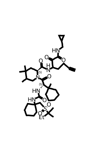 C#CCCC(NC(=O)[C@@H]1CC(C)(C)C(C)CN1C(=O)[C@@H](NC(=O)NC1(CS(=O)(=O)C(C)(C)CC)CCCCC1)C1(C)CCCCC1)C(=O)C(=O)NCC1CC1